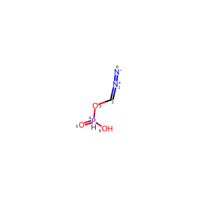 [N-]=[N+]=CO[PH](=O)O